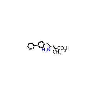 CC(=CC(N)Cc1ccc(-c2ccccc2)cc1)C(=O)O